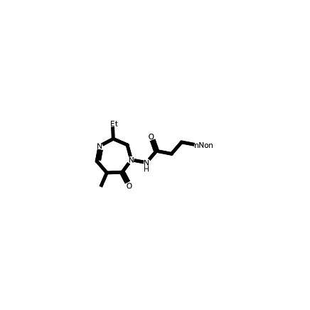 CCCCCCCCCCCC(=O)NN1CC(CC)N=CC(C)C1=O